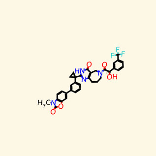 Cn1c(=O)oc2cc(-c3cccc(C4(c5nc6c(c(=O)[nH]5)CN(C(=O)[C@H](O)c5cccc(C(F)(F)F)c5)CCC6)CC4)c3)ccc21